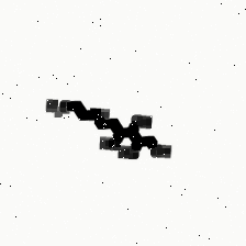 CCCNCCC(O)C(O)C(O)CO